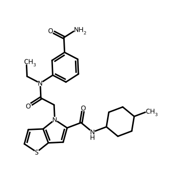 CCN(C(=O)Cn1c(C(=O)NC2CCC(C)CC2)cc2sccc21)c1cccc(C(N)=O)c1